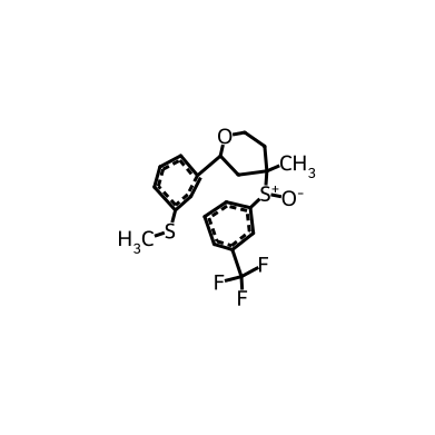 CSc1cccc(C2CC(C)([S+]([O-])c3cccc(C(F)(F)F)c3)CCO2)c1